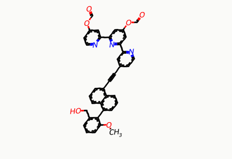 COc1cccc(CO)c1-c1cccc2c(C#Cc3ccnc(-c4cc(OC=O)cc(-c5cc(OC=O)ccn5)n4)c3)cccc12